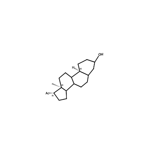 CC(=O)[C@H]1CCC2C3CCC4CC(O)CC[C@@H]4C3CC[C@@]21C